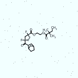 CCC(C)(C)C(=O)OCCOC(=O)C(F)(F)CC(F)(F)C(=O)C1CC2CCC1C2